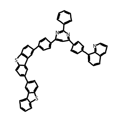 c1ccc(-c2nc(-c3ccc(-c4ccc5sc6ccc(-c7ccc8sc9ccccc9c8c7)cc6c5c4)cc3)cc(-c3ccc(-c4cccc5cccnc45)cc3)n2)cc1